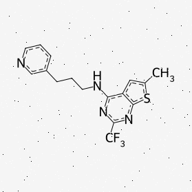 Cc1cc2c(NCCCc3cccnc3)nc(C(F)(F)F)nc2s1